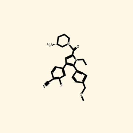 CCn1c(C(=O)N2CCC[C@@H](N)C2)cc(-c2ccc(C#N)c(F)c2)c1-c1ccc(COC)cc1